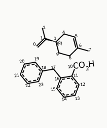 C=C(C)[C@H]1CC=C(C)CC1.O=C(O)c1ccccc1Cc1ccccc1